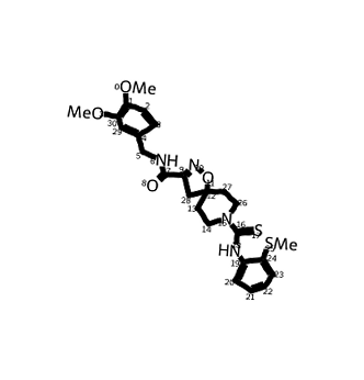 COc1ccc(CNC(=O)C2=NOC3(CCN(C(=S)Nc4ccccc4SC)CC3)C2)cc1OC